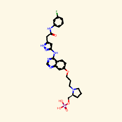 O=C(Cc1cc(Nc2ncnc3cc(OCCCN4CCC[C@H]4COP(=O)(O)O)ccc23)n[nH]1)Nc1cccc(F)c1